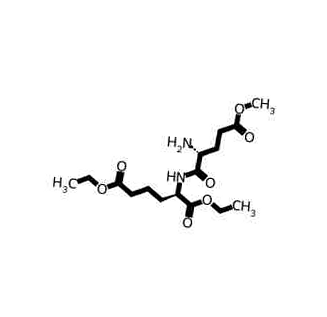 CCOC(=O)CCC[C@@H](NC(=O)[C@H](N)CCC(=O)OC)C(=O)OCC